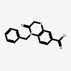 O=C(Cl)c1ccc2c(c1)SCC(=O)N2Cc1ccccc1